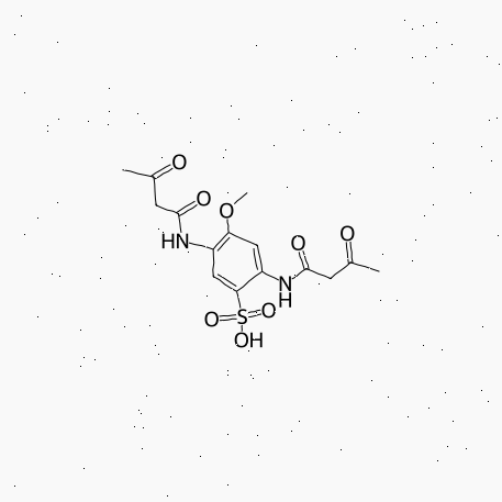 COc1cc(NC(=O)CC(C)=O)c(S(=O)(=O)O)cc1NC(=O)CC(C)=O